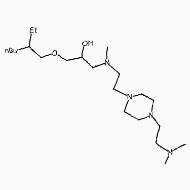 CCCCC(CC)COCC(O)CN(C)CCN1CCN(CCN(C)C)CC1